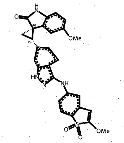 COC1=Cc2cc(Nc3n[nH]c4cc([C@@H]5C[C@@]56C(=O)Nc5ccc(OC)cc56)ccc34)ccc2S1(=O)=O